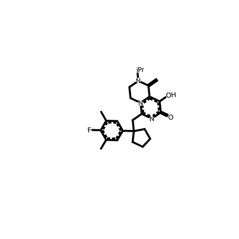 C=C1c2c(O)c(=O)nc(CC3(c4cc(C)c(F)c(C)c4)CCCC3)n2CCN1C(C)C